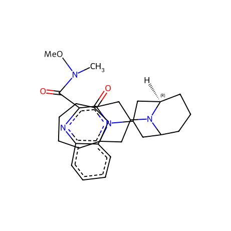 CON(C)C(=O)c1nc2ccccc2n(C2CC3CCC[C@H](C2)N3C2CC3CCCCC(C3)C2)c1=O